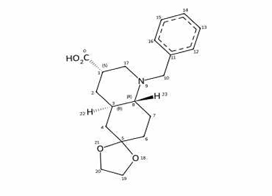 O=C(O)[C@H]1C[C@@H]2CC3(CC[C@H]2N(Cc2ccccc2)C1)OCCO3